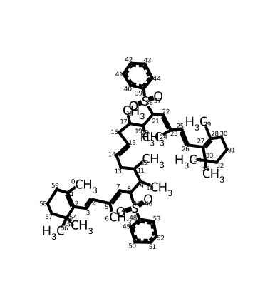 CC1=C(/C=C/C(C)=C/C(C(C)C(C)C/C=C/CC(C)C(C)C(/C=C(C)/C=C/C2=C(C)CCCC2(C)C)S(=O)(=O)c2ccccc2)S(=O)(=O)c2ccccc2)C(C)(C)CCC1